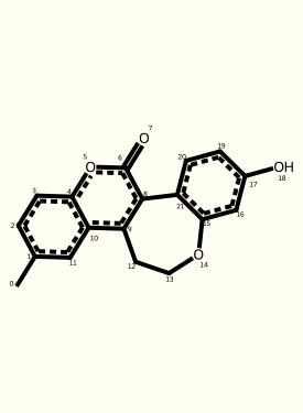 Cc1ccc2oc(=O)c3c(c2c1)CCOc1cc(O)ccc1-3